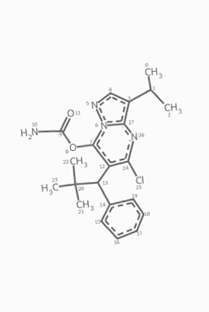 CC(C)c1cnn2c(OC(N)=O)c(C(c3ccccc3)C(C)(C)C)c(Cl)nc12